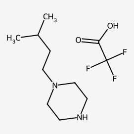 CC(C)CCN1CCNCC1.O=C(O)C(F)(F)F